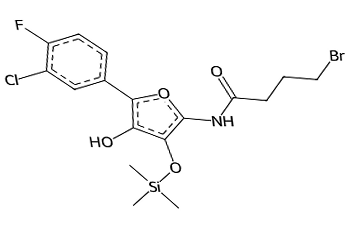 C[Si](C)(C)Oc1c(NC(=O)CCCBr)oc(-c2ccc(F)c(Cl)c2)c1O